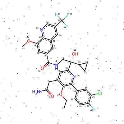 CCOc1c(CC(N)=O)cc([C@@](O)(CNC(=O)c2cc(OC)c3ncc(C(F)(F)F)cc3c2)C2CC2)nc1-c1ccc(F)c(Cl)c1